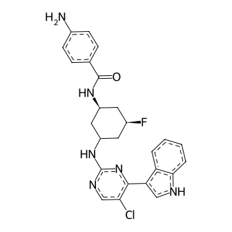 Nc1ccc(C(=O)N[C@@H]2CC(Nc3ncc(Cl)c(-c4c[nH]c5ccccc45)n3)C[C@H](F)C2)cc1